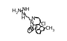 Cc1cc(-c2c(Cl)cccnc(CCCCNC(=N)N)nc(N3CC4CCC(C3)N4)c2F)c2ccccc2c1